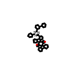 c1ccc(-c2cccc(-c3nc(-c4ccccc4)nc(-c4cccc5c4-c4ccccc4C54c5ccccc5C5(c6ccccc6-c6ccccc65)c5ccccc54)n3)c2)cc1